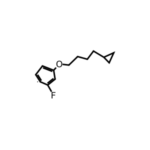 Fc1[c]ccc(OCCCCC2CC2)c1